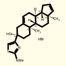 Br.CNc1nc([C@]2(O)CC[C@@]3(C)C(=CC[C@H]4[C@@H]5CC=C[C@@]5(C)CC[C@@H]43)C2)cs1